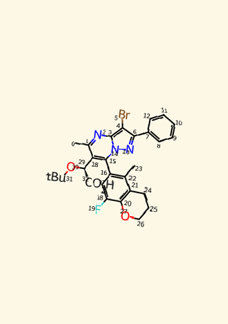 Cc1nc2c(Br)c(-c3ccccc3)nn2c(-c2cc(F)c3c(c2C)CCCO3)c1[C@H](OC(C)(C)C)C(=O)O